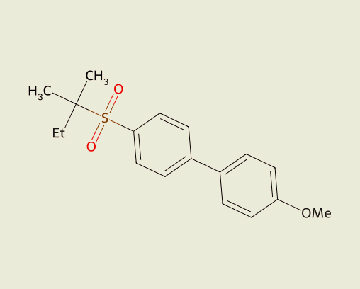 CCC(C)(C)S(=O)(=O)c1ccc(-c2ccc(OC)cc2)cc1